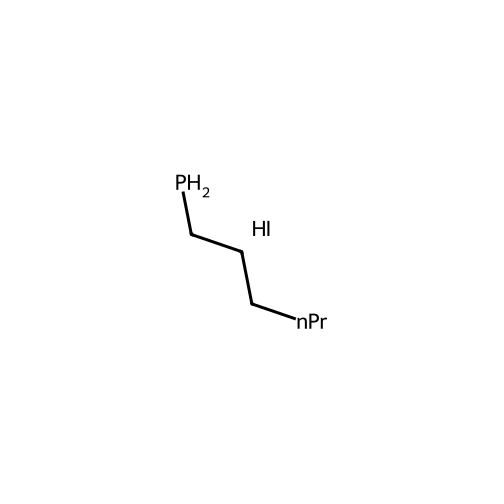 CCCCCCP.I